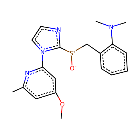 COc1cc(C)nc(-n2ccnc2[S+]([O-])Cc2ccccc2N(C)C)c1